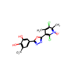 Cc1c(Cl)c(C)[n+]([O-])c(Cl)c1-c1nnc(-c2cc(O)c(O)c([N+](=O)[O-])c2)o1